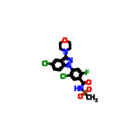 CS(=O)(=O)NC(=O)c1cc(Cl)c(-n2nc(N3CCOCC3)c3cc(Cl)ccc32)cc1F